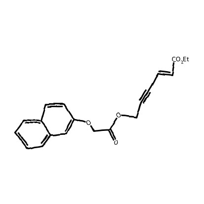 CCOC(=O)C=CC#CCOC(=O)COc1ccc2ccccc2c1